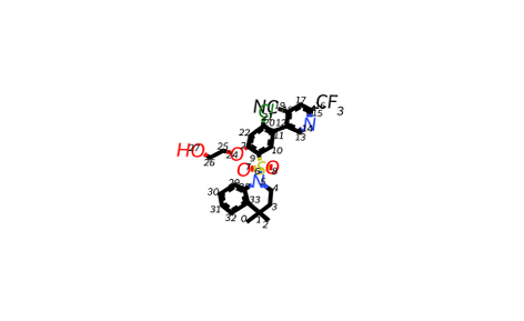 CC1(C)CCN(S(=O)(=O)c2cc(-c3cnc(C(F)(F)F)cc3C#N)c(Cl)cc2OCCO)c2ccccc21